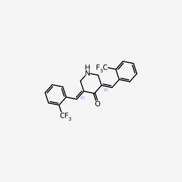 O=C1/C(=C/c2ccccc2C(F)(F)F)CNC/C1=C\c1ccccc1C(F)(F)F